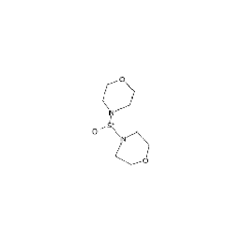 [O-][S+](N1CCOCC1)N1CCOCC1